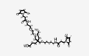 O=C(CCN1C(=O)C=CC1=O)NCCOCCOCC(CCCO)(CCCO)COCCOCCNC(=O)CCN1C(=O)C=CC1=O